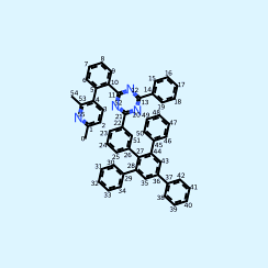 Cc1ccc(-c2ccccc2-c2nc(-c3ccccc3)nc(-c3cccc(-c4c(-c5ccccc5)cc(-c5ccccc5)cc4-c4ccccc4)c3)n2)c(C)n1